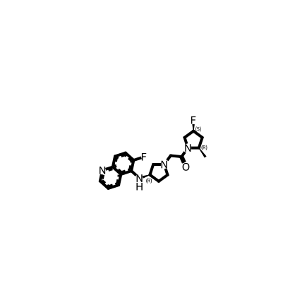 C[C@@H]1C[C@H](F)CN1C(=O)CN1CC[C@@H](Nc2c(F)ccc3ncccc23)C1